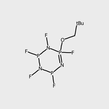 CC(C)(C)COP1(F)=NP(F)N(F)P(F)N1F